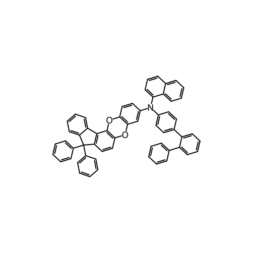 c1ccc(-c2ccccc2-c2ccc(N(c3ccc4c(c3)Oc3ccc5c(c3O4)-c3ccccc3C5(c3ccccc3)c3ccccc3)c3cccc4ccccc34)cc2)cc1